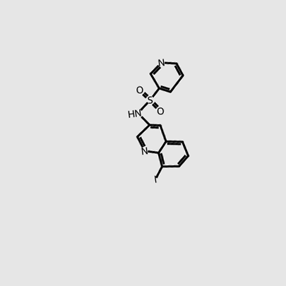 O=S(=O)(Nc1cnc2c(I)cccc2c1)c1cccnc1